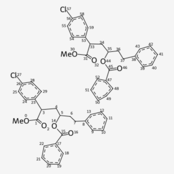 COC(=O)C(CC(CCc1ccccc1)OC(=O)c1ccccc1)c1ccc(Cl)cc1.COC(=O)C(CC(CCc1ccccc1)OC(=O)c1ccccc1)c1ccc(Cl)cc1